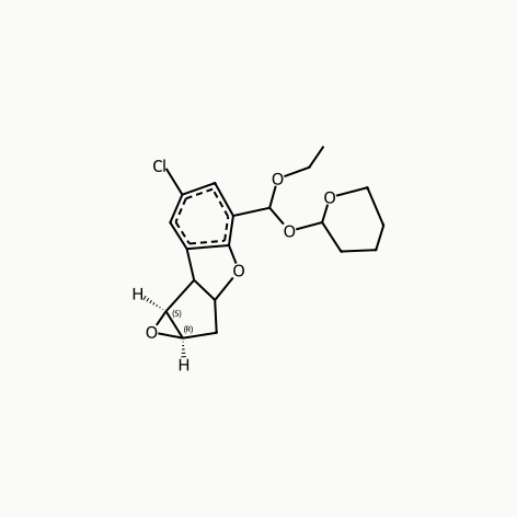 CCOC(OC1CCCCO1)c1cc(Cl)cc2c1OC1C[C@H]3O[C@H]3C21